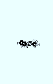 O=c1[nH]ncc(N2CCn3c(Cc4ccc(F)cc4C(F)(F)F)cnc3C2)c1Cl